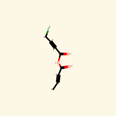 CC#CC(=O)OC(=O)C#CCF